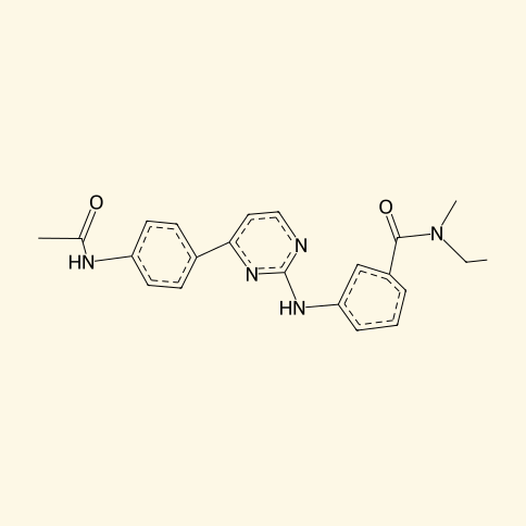 CCN(C)C(=O)c1cccc(Nc2nccc(-c3ccc(NC(C)=O)cc3)n2)c1